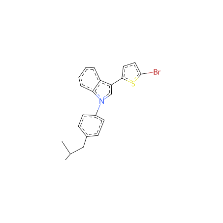 CC(C)Cc1ccc(-n2cc(-c3ccc(Br)s3)c3ccccc32)cc1